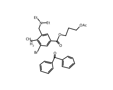 C.CCN(CC)Cc1cc(C(=O)OCCCOC(C)=O)cc(Br)c1N.O=C(c1ccccc1)c1ccccc1